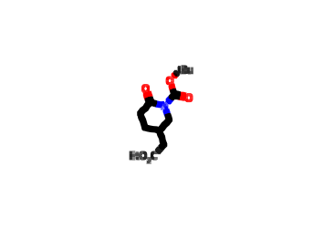 CCOC(=O)CC1CCC(=O)N(C(=O)OC(C)(C)C)C1